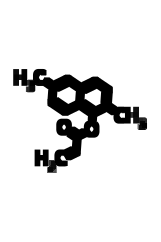 C=CC(=O)Oc1c(C)ccc2cc(C)ccc12